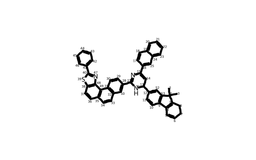 CC1(C)C2=C(C=CCC2)c2ccc(C3C=C(c4ccc5ccccc5c4)N=C(c4ccc5c(ccc6ccc7sc(-c8ccccc8)nc7c65)c4)N3)cc21